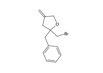 C=C1COC(CBr)(Cc2ccccc2)C1